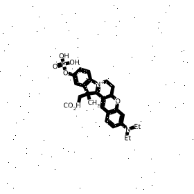 CCN(CC)c1ccc2c(c1)OC1CC[N+]3=C(C1=C2)C(C)(CC(=O)O)c1cc(OP(=O)(O)O)ccc13